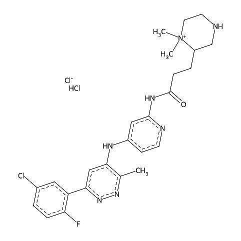 Cc1nnc(-c2cc(Cl)ccc2F)cc1Nc1ccnc(NC(=O)CCC2CNCC[N+]2(C)C)c1.Cl.[Cl-]